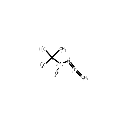 C=C=N[S@+]([O-])C(C)(C)C